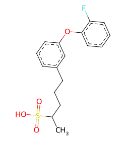 CC(CCCc1cccc(Oc2ccccc2F)c1)S(=O)(=O)O